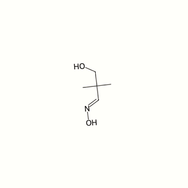 CC(C)(/C=N/O)CO